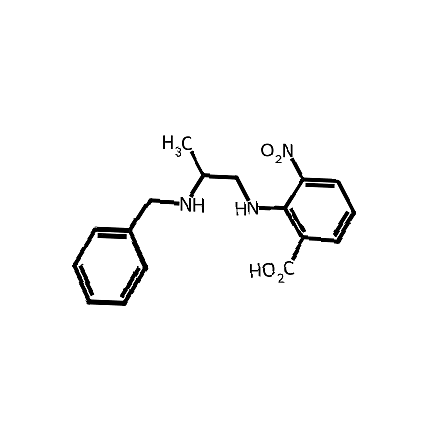 CC(CNc1c(C(=O)O)cccc1[N+](=O)[O-])NCc1ccccc1